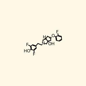 Oc1c(F)cc(CCN2C[C@H]3C[C@H](Oc4ccccc4F)C[C@@]3(O)C2)cc1F